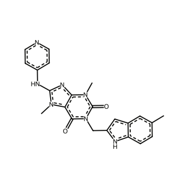 Cc1ccc2[nH]c(Cn3c(=O)c4c(nc(Nc5ccncc5)n4C)n(C)c3=O)cc2c1